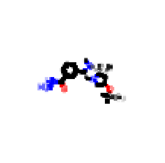 CN(C(=O)O)[C@H](CN1CC[C@H](O[Si](C)(C)C(C)(C)C)C1)c1cccc(C(=O)NN)c1